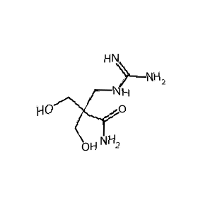 N=C(N)NCC(CO)(CO)C(N)=O